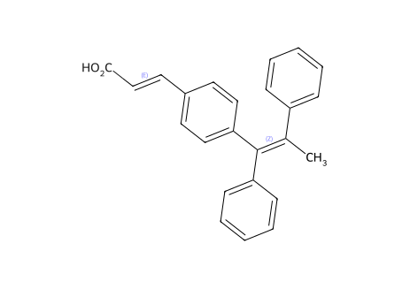 C/C(=C(\c1ccccc1)c1ccc(/C=C/C(=O)O)cc1)c1ccccc1